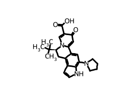 CC(C)(C)[C@@H]1Cc2c(cc(N3CCCC3)c3[nH]ccc23)-c2cc(=O)c(C(=O)O)cn21